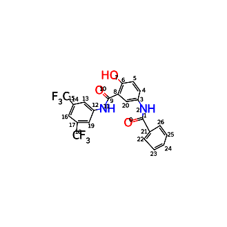 O=C(Nc1ccc(O)c(C(=O)Nc2cc(C(F)(F)F)cc(C(F)(F)F)c2)c1)c1ccccc1